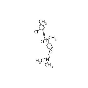 CCN(CC)CCOc1ccc(N(C)C(=O)C#Cc2ccc(C)cc2Cl)cc1